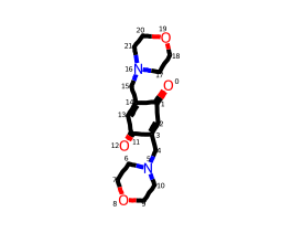 O=C1C=C(CN2CCOCC2)C(=O)C=C1CN1CCOCC1